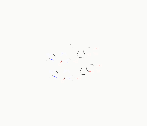 Cc1nc(C(N)C(=O)N2CC(Oc3ccc4c(c3C(=O)O)O[B-](O)(O)CC4)C2)c[nH]1.Cc1nc(C(N)C(=O)N2CC(Oc3ccc4c(c3C(=O)O)O[B-](O)(O)CC4)C2)c[nH]1.[Na+].[Na+]